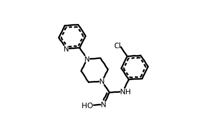 O/N=C(/Nc1cccc(Cl)c1)N1CCN(c2ccccn2)CC1